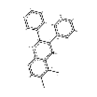 Cc1ccc2nc(-c3cccnc3)c(-c3cccnc3)nc2c1C